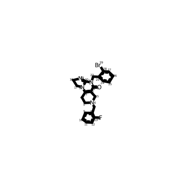 O=C1C2=C(CCN(Cc3ccccc3F)C2)N2CCN=C2N1Cc1ccccc1Br